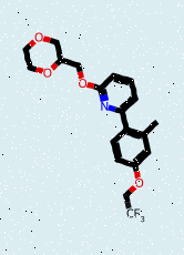 Cc1cc(OCC(F)(F)F)ccc1-c1cccc(OCC2COCCO2)n1